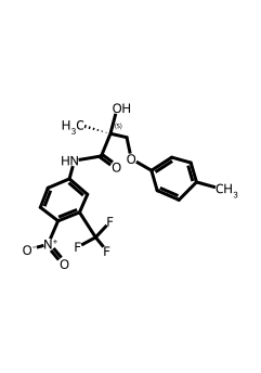 Cc1ccc(OC[C@](C)(O)C(=O)Nc2ccc([N+](=O)[O-])c(C(F)(F)F)c2)cc1